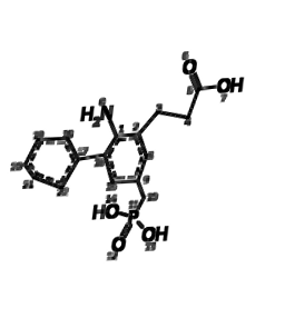 Nc1c(CCC(=O)O)cc(CP(=O)(O)O)cc1-c1ccccc1